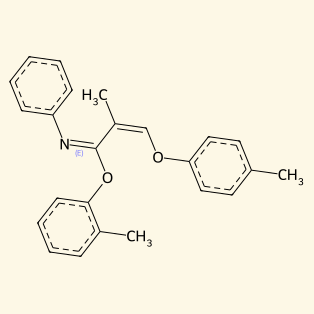 CC(=COc1ccc(C)cc1)/C(=N\c1ccccc1)Oc1ccccc1C